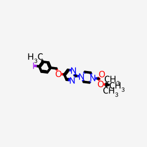 Cc1cc(COc2cnc(N3CCN(C(=O)OC(C)(C)C)CC3)nc2)ccc1I